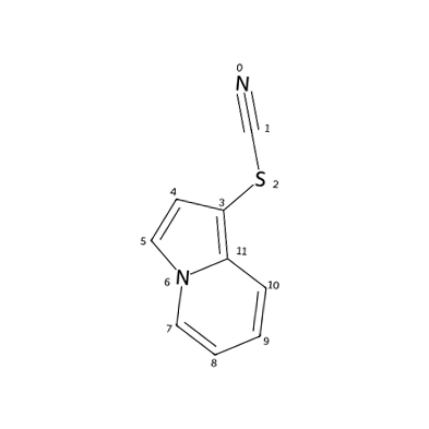 N#CSc1ccn2ccccc12